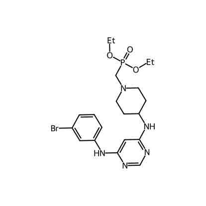 CCOP(=O)(CN1CCC(Nc2cc(Nc3cccc(Br)c3)ncn2)CC1)OCC